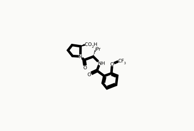 CC(C)[C@H](NC(=O)c1ccccc1OC(F)(F)F)C(=O)N1CCC[C@H]1C(=O)O